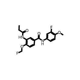 CCC(=O)Nc1cc(C(=O)Nc2ccc(OC)c(F)c2)ccc1OCF